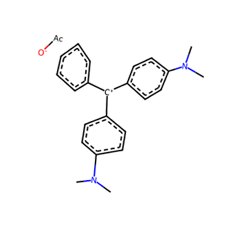 CC(=O)[O-].CN(C)c1ccc([C+](c2ccccc2)c2ccc(N(C)C)cc2)cc1